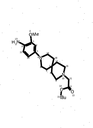 COc1cc(N2CCC3(CCN(CC(=O)OC(C)(C)C)CC3)CC2)ccc1N